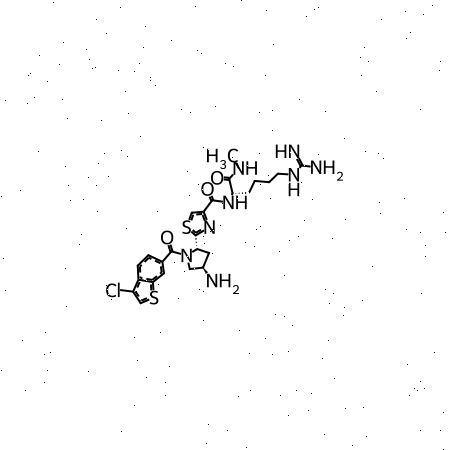 CNC(=O)[C@H](CCCCNC(=N)N)NC(=O)c1csc([C@@H]2C[C@@H](N)CN2C(=O)c2ccc3c(Cl)csc3c2)n1